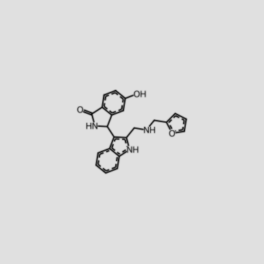 O=C1NC(c2c(CNCc3ccco3)[nH]c3ccccc23)c2cc(O)ccc21